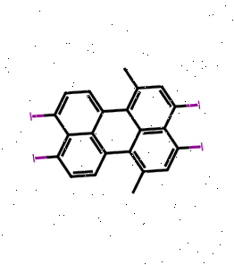 Cc1cc(I)c2c(I)cc(C)c3c4ccc(I)c5c(I)ccc(c1c23)c54